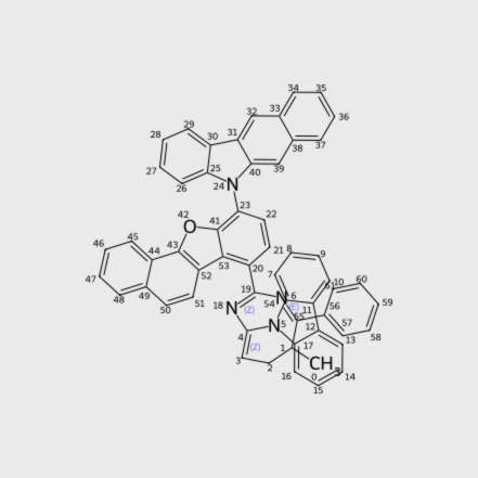 CC1C/C=C(n2c3ccccc3c3ccccc32)/N=C(c2ccc(-n3c4ccccc4c4cc5ccccc5cc43)c3oc4c5ccccc5ccc4c23)\N=C/1c1ccccc1